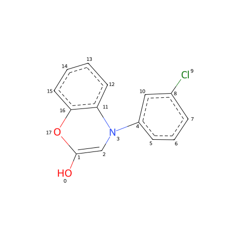 OC1=CN(c2cccc(Cl)c2)c2ccccc2O1